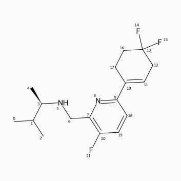 CC(C)[C@@H](C)NCc1nc(C2=CCC(F)(F)CC2)ccc1F